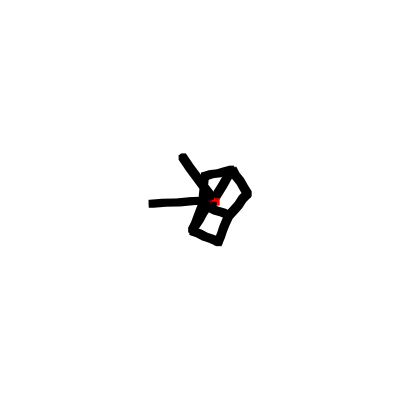 CC1C2CC3CC(C3C2)N1C